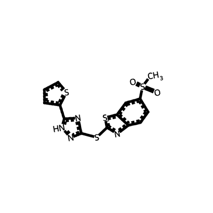 CS(=O)(=O)c1ccc2nc(Sc3n[nH]c(-c4cccs4)n3)sc2c1